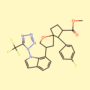 COC(=O)C1CCC2(CC(c3cccc4ccn(-n5nnnc5C(F)(F)F)c34)CO2)C1c1ccc(F)cc1